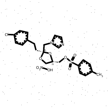 Cc1ccc(S(=O)(=O)OC[C@@H]2CO[C@@](CCc3ccc(Cl)cc3)(Cn3ccnc3)O2)cc1.O=[N+]([O-])O